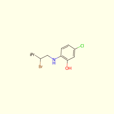 CC(C)C(Br)CNc1ccc(Cl)cc1O